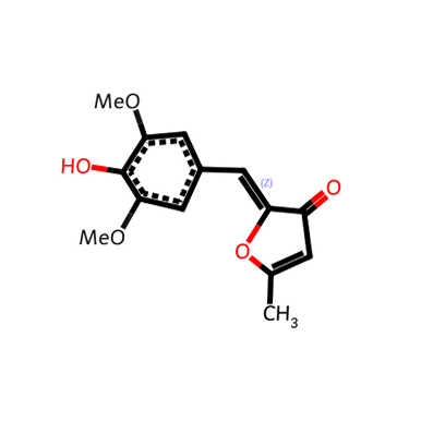 COc1cc(/C=C2\OC(C)=CC2=O)cc(OC)c1O